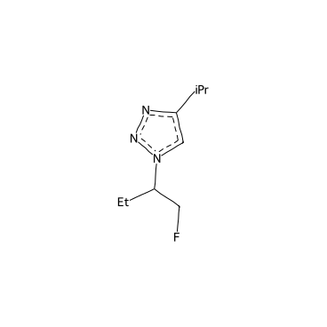 CCC(CF)n1cc(C(C)C)nn1